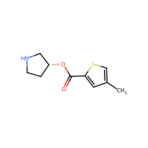 Cc1csc(C(=O)O[C@@H]2CCNC2)c1